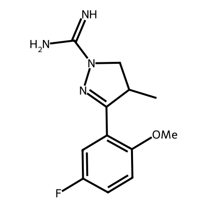 COc1ccc(F)cc1C1=NN(C(=N)N)CC1C